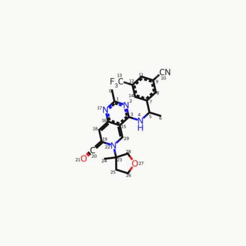 Cc1nc(NC(C)c2cc(C#N)cc(C(F)(F)F)c2)c2c(n1)=CC(=C=O)N(C1(C)CCOC1)C=2